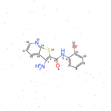 Nc1c(C(=O)Nc2ccccc2Br)sc2ncccc12